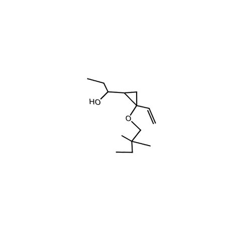 C=CC1(OCC(C)(C)CC)CC1C(O)CC